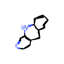 C1=CC2Cc3ccncc3NC2C=C1